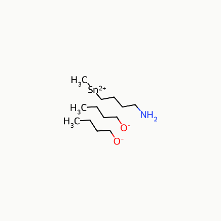 CCCC[O-].CCCC[O-].[CH3][Sn+2][CH2]CCCN